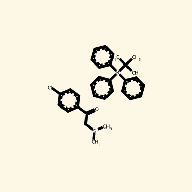 CC(C)(C)[B-](c1ccccc1)(c1ccccc1)c1ccccc1.C[S+](C)CC(=O)c1ccc(Cl)cc1